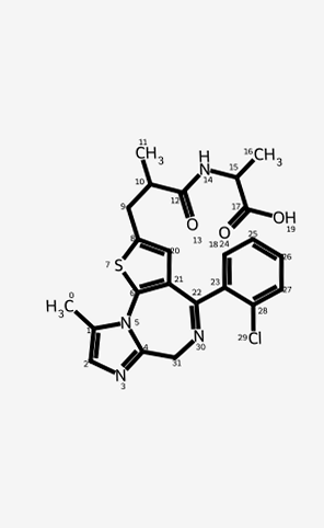 Cc1cnc2n1-c1sc(CC(C)C(=O)NC(C)C(=O)O)cc1C(c1ccccc1Cl)=NC2